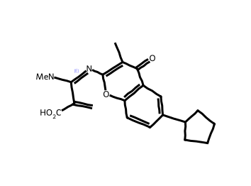 C=C(C(=O)O)/C(=N\c1oc2ccc(C3CCCC3)cc2c(=O)c1C)NC